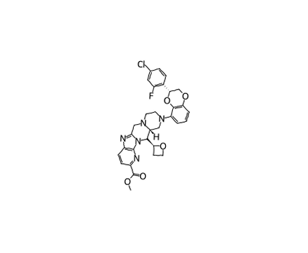 COC(=O)c1ccc2nc3n(c2n1)C([C@@H]1CCO1)[C@H]1CN(c2cccc4c2O[C@H](c2ccc(Cl)cc2F)CO4)CCN1C3